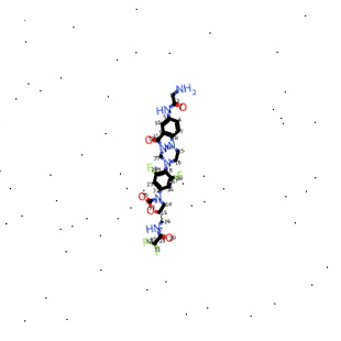 NCC(=O)Nc1ccc2c(c1)c(=O)n1n2CCN(c2c(F)cc(N3C[C@H](CNC(=O)C(F)F)OC3=O)cc2F)C1